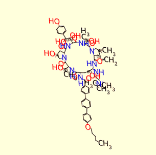 C=C[C@@H]1C2C(=O)NC(NCC[N+](C)(C)C)[C@H](O)CC(NC(=O)c3ccc(-c4ccc(-c5ccc(OCCCCC)cc5)cc4)cc3)C(=O)NC([C@@H](C)O)C(=O)N3C[C@H](O)CC3C(=O)NC([C@H](O)[C@@H](O)c3ccc(O)cc3)C(=O)NC([C@@H](C)O)C(=O)N2C[C@@H]1C